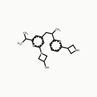 CC(C)c1cc(CC(C)c2cccc(C3CNC3)n2)cc(N2CC(O)C2)n1